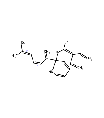 C=CC(C=C)=C(CC)NC1(C(=C)/C=C\C=C(/C)C(C)CC)C=CC=CN1